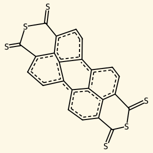 S=C1SC(=S)c2ccc3c4ccc5c6c(ccc(c7ccc1c2c73)c64)C(=S)SC5=S